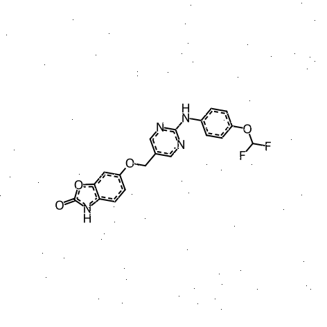 O=c1[nH]c2ccc(OCc3cnc(Nc4ccc(OC(F)F)cc4)nc3)cc2o1